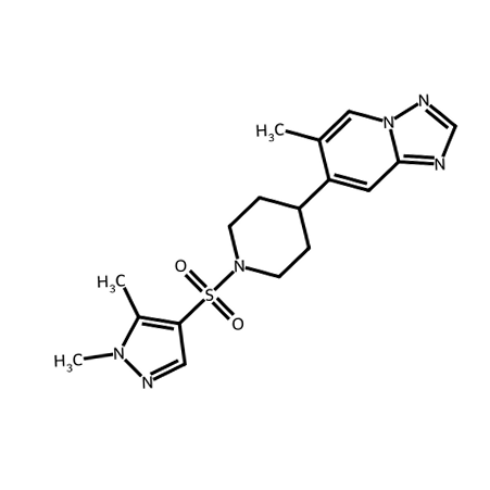 Cc1cn2ncnc2cc1C1CCN(S(=O)(=O)c2cnn(C)c2C)CC1